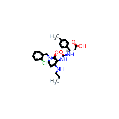 CCCNc1ccn(Cc2ccccc2Cl)c(=O)c1NC(=O)N[C@@H](CC(=O)O)c1ccc(C)cc1